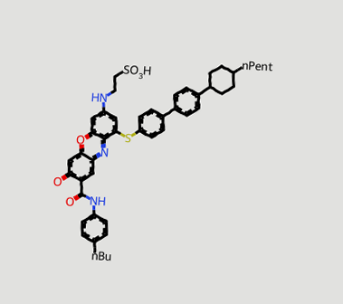 CCCCCC1CCC(c2ccc(-c3ccc(Sc4cc(NCCS(=O)(=O)O)cc5oc6cc(=O)c(C(=O)Nc7ccc(CCCC)cc7)cc-6nc45)cc3)cc2)CC1